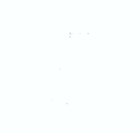 CCC(C)(c1ccc2c(c1)C(C)(C)c1cc3c(cc1-2)CC3(CC)N(c1ccc(C)cc1)c1ccc(C)cc1)N(c1ccc(C)cc1)c1ccc(C)cc1